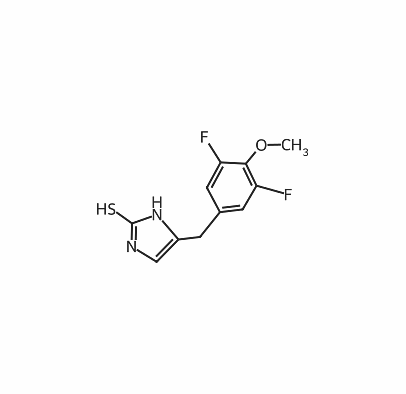 COc1c(F)cc(Cc2cnc(S)[nH]2)cc1F